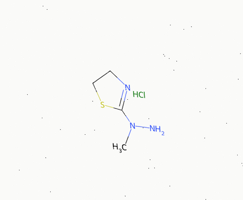 CN(N)C1=NCCS1.Cl